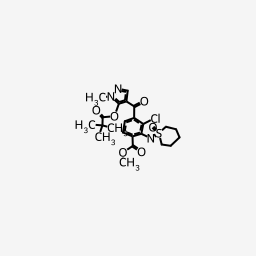 COC(=O)c1ccc(C(=O)c2cnn(C)c2OC(=O)C(C)(C)C)c(Cl)c1N=S1(=O)CCCCC1